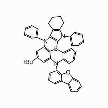 CC(C)(C)c1cc2c3c(c1)N(c1cccc4c1oc1ccccc14)c1ccccc1B3c1c(c3c(n1-c1ccccc1)CCCC3)N2c1ccccc1